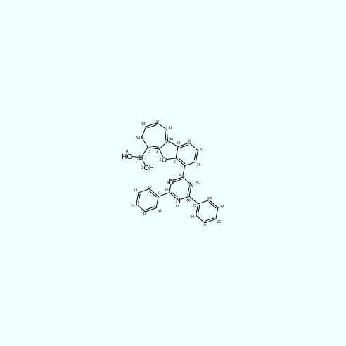 OB(O)C1=c2oc3c(-c4nc(-c5ccccc5)nc(-c5ccccc5)n4)cccc3c2=CC=CC1